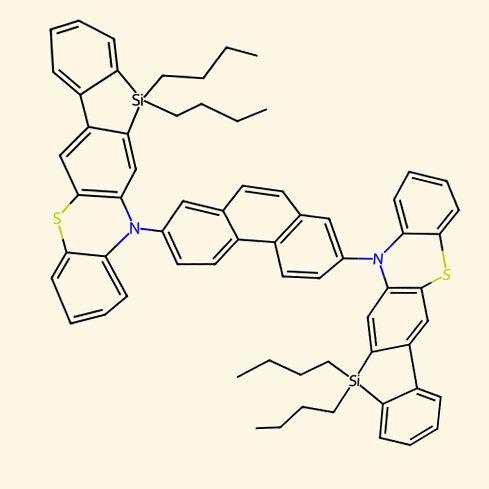 CCCC[Si]1(CCCC)c2ccccc2-c2cc3c(cc21)N(c1ccc2c(ccc4cc(N5c6ccccc6Sc6cc7c(cc65)[Si](CCCC)(CCCC)c5ccccc5-7)ccc42)c1)c1ccccc1S3